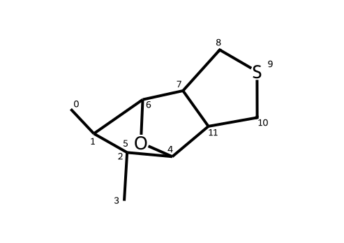 CC1C(C)C2OC1C1CSCC12